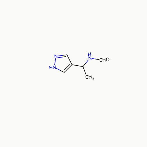 CC(N[C]=O)c1cn[nH]c1